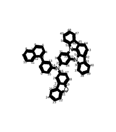 c1cc(-c2cccc3ccccc23)cc(N(c2ccc3oc4ccccc4c3c2)c2ccc3c(c2)n2c4ccccc4c4ccc5c6ccccc6n3c5c42)c1